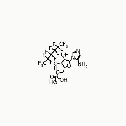 FC(F)(F)C(F)(F)C(F)(F)C(F)(F)C(F)(F)C(F)(F)F.Nc1cncn1[C@@H]1O[C@H](COP(=O)(O)O)[C@@H](O)[C@H]1O